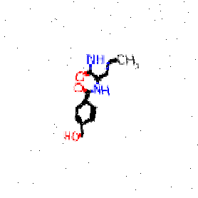 CCCC(NC(=O)c1ccc(CO)cc1)C(N)=O